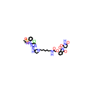 CC(C)S(=O)(=O)c1ccccc1Nc1nc(N[C@@H]2CCCN(CCCCCCCNC(=O)COc3cccc4c3C(=O)N(C3CCC(=O)NC3=O)C4=O)C2)ncc1Cl